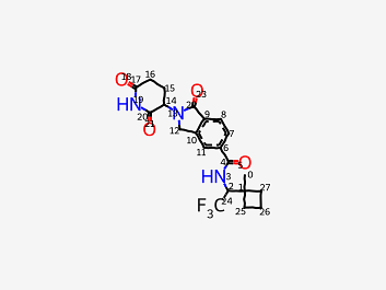 CC1(C(NC(=O)c2ccc3c(c2)CN(C2CCC(=O)NC2=O)C3=O)C(F)(F)F)CCC1